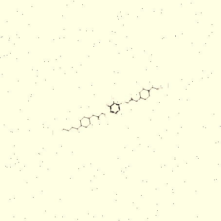 CCCCCC1CCC(CC(F)COc2ccc(OCC(F)CC3CCC(CCC)CC3)c(F)c2F)CC1